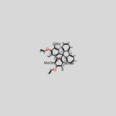 C=COc1c(OC)cc(C2(c3cc(OC)c(OC=C)c(C)c3OC)c3ccccc3-c3ccccc32)c(OC)c1C